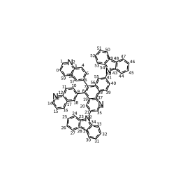 c1cnc2ccc(-c3c(-c4ccc5ncccc5c4)c4cc(-n5c6ccccc6c6ccccc65)cnc4c4ccc(-n5c6ccccc6c6ccccc65)cc34)cc2c1